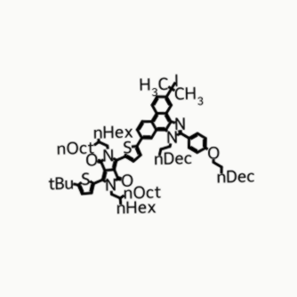 CCCCCCCCCCCCOc1ccc(-c2nc3c4cc(C(C)(C)I)ccc4c4ccc(-c5ccc(C6=C7C(=O)N(CC(CCCCCC)CCCCCCCC)C(c8ccc(C(C)(C)C)s8)=C7C(=O)N6CC(CCCCCC)CCCCCCCC)s5)cc4c3n2CCCCCCCCCCCC)cc1